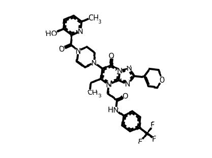 CCc1c(N2CCN(C(=O)c3nc(C)ccc3O)CC2)c(=O)n2nc(C3=CCOCC3)nc2n1CC(=O)Nc1ccc(C(F)(F)F)cc1